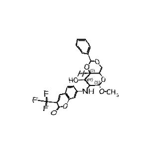 CO[C@H]1OC2COC(c3ccccc3)O[C@H]2[C@H](O)C1Nc1ccc2cc(C(F)(F)F)c(=O)oc2c1